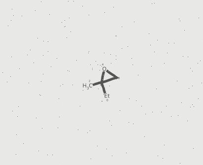 CCC1(C)[CH]O1